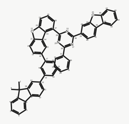 CC1(C)c2ccccc2-c2ccc(-c3cccc(-c4ccc5oc6cccc(-c7nc(-c8ccccc8)nc(-c8ccc9c(c8)oc8ccccc89)n7)c6c5c4)c3)cc21